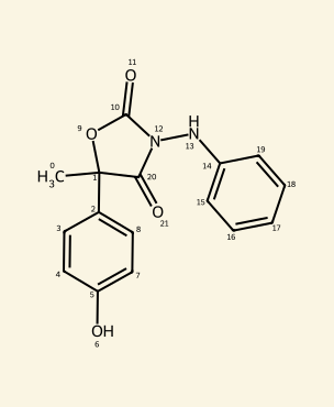 CC1(c2ccc(O)cc2)OC(=O)N(Nc2ccccc2)C1=O